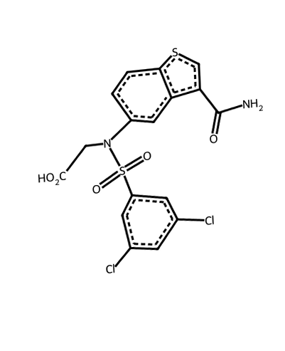 NC(=O)c1csc2ccc(N(CC(=O)O)S(=O)(=O)c3cc(Cl)cc(Cl)c3)cc12